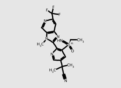 CC[S@@](=N)(=O)c1cc(C(C)(C)C#N)cnc1-c1nc2cc(C(F)(F)F)ncc2n1C